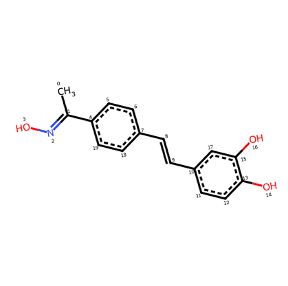 CC(=NO)c1ccc(C=Cc2ccc(O)c(O)c2)cc1